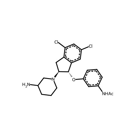 CC(=O)Nc1cccc(O[C@H]2c3cc(Cl)cc(Cl)c3C[C@@H]2N2CCCC(N)C2)c1